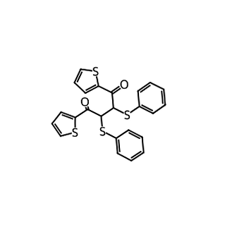 O=C(c1cccs1)C(Sc1ccccc1)C(Sc1ccccc1)C(=O)c1cccs1